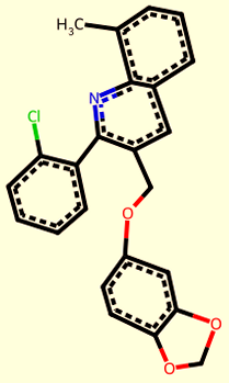 Cc1cccc2cc(COc3ccc4c(c3)OCO4)c(-c3ccccc3Cl)nc12